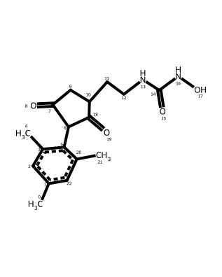 Cc1cc(C)c(C2C(=O)CC(CCNC(=O)NO)C2=O)c(C)c1